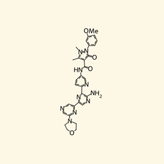 COc1cccc(-n2c(=O)c(C(=O)Nc3ccc(-c4nc(-c5cncc(N6CCOCC6)n5)cnc4N)nc3)c(C)n2C)c1